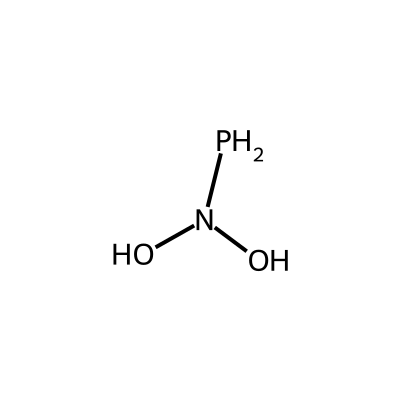 ON(O)P